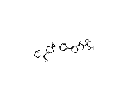 CN1c2cc(-c3ccc([C@@H]4CC45CCN(C(=O)[C@H]4CCCO4)CC5)cc3)ccc2CC1C(O)O